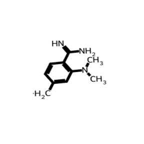 [CH2]c1ccc(C(=N)N)c(N(C)C)c1